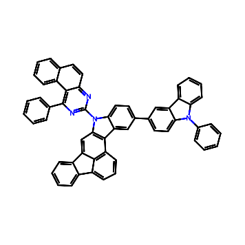 c1ccc(-c2nc(-n3c4ccc(-c5ccc6c(c5)c5ccccc5n6-c5ccccc5)cc4c4c5cccc6c5c(cc43)-c3ccccc3-6)nc3ccc4ccccc4c23)cc1